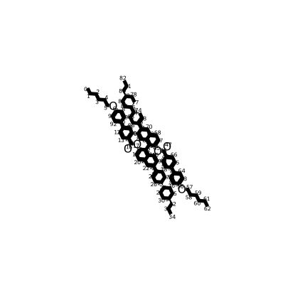 CCCCCCOc1ccc(-c2ccc(C(=O)Oc3ccc4cc(C5=CCC([C@H]6CC[C@H](CCC)CC6)CC5)ccc4c3-c3c(OC(=O)c4ccc(-c5ccc(OCCCCCC)cc5)cc4)ccc4cc(C5=CC[C@@H]([C@H]6CC[C@H](CCC)CC6)CC5)ccc34)cc2)cc1